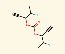 C#CC(OC(=O)OC(C#C)C(C)F)C(C)F